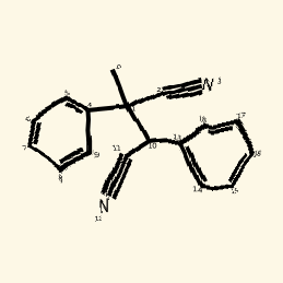 CC(C#N)(c1ccccc1)C(C#N)c1ccccc1